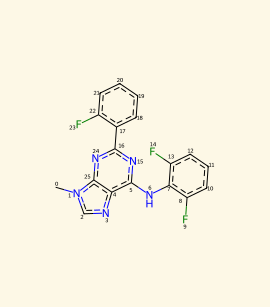 Cn1cnc2c(Nc3c(F)cccc3F)nc(-c3ccccc3F)nc21